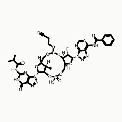 CC(C)C(=O)Nc1nc2c(nnn2[C@@H]2O[C@@H]3COP(OCCC#N)O[C@H]4[C@H](F)[C@H](n5nnc6c(NC(=O)c7ccccc7)ncnc65)O[C@@H]4COP(=O)(S)O[C@H]2[C@@H]3F)c(=O)[nH]1